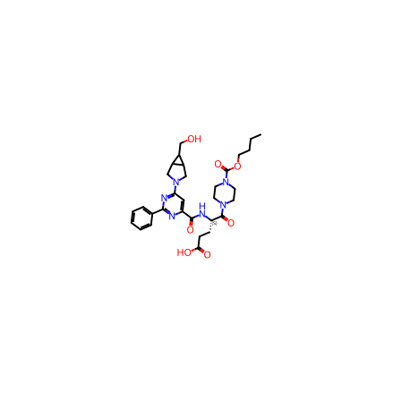 CCCCOC(=O)N1CCN(C(=O)[C@H](CCC(=O)O)NC(=O)c2cc(N3CC4C(CO)C4C3)nc(-c3ccccc3)n2)CC1